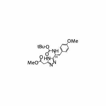 COC(=O)Cc1nnc([C@H](Cc2ccc(OC)cc2)NC(=O)OC(C)(C)C)[nH]1